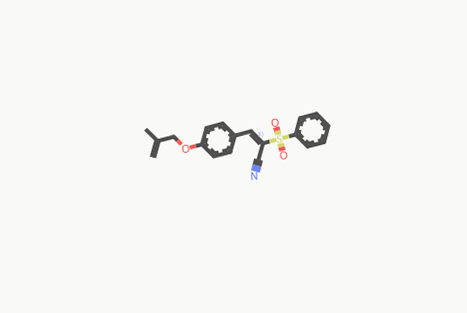 C=C(C)COc1ccc(/C=C(\C#N)S(=O)(=O)c2ccccc2)cc1